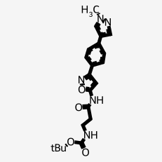 Cn1cc(-c2ccc(-c3cc(NC(=O)CCNC(=O)OC(C)(C)C)on3)cc2)cn1